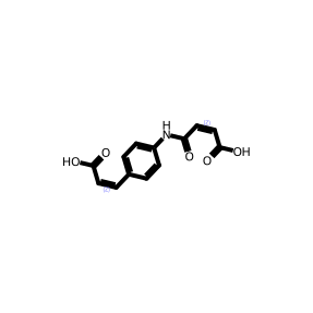 O=C(O)/C=C\C(=O)Nc1ccc(/C=C\C(=O)O)cc1